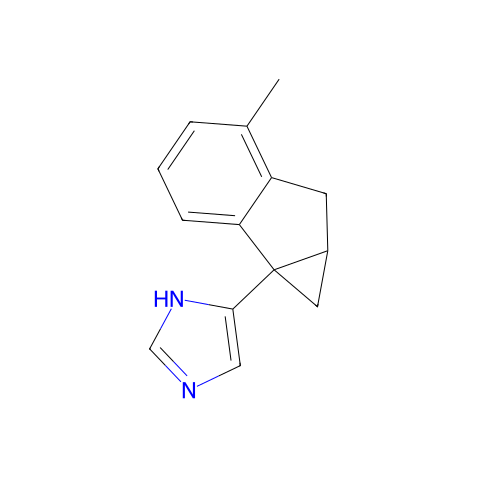 Cc1cccc2c1CC1CC21c1cnc[nH]1